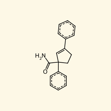 NC(=O)C1(c2ccccc2)C=C(c2ccccc2)CC1